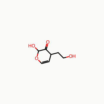 O=C1C(CCO)C=COC1O